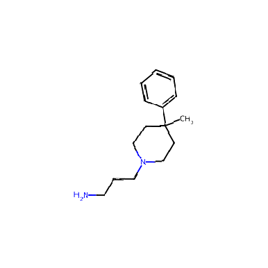 CC1(c2ccccc2)CCN(CCCN)CC1